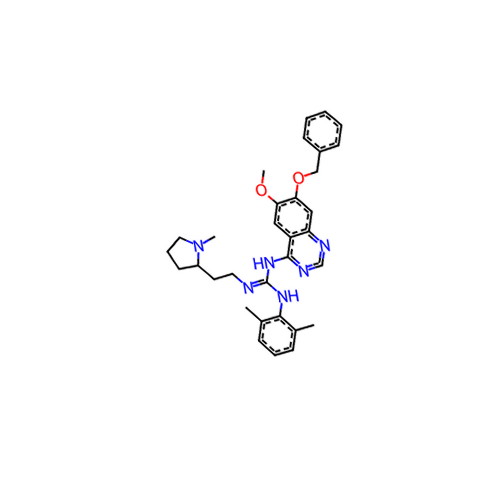 COc1cc2c(N/C(=N\CCC3CCCN3C)Nc3c(C)cccc3C)ncnc2cc1OCc1ccccc1